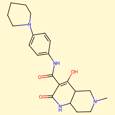 CN1CCC2NC(=O)C(C(=O)Nc3ccc(N4CCCCC4)cc3)=C(O)C2C1